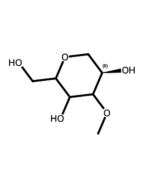 COC1C(O)C(CO)OC[C@H]1O